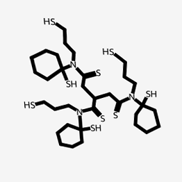 S=C(CC(CC(=S)N(CCCS)C1(S)CCCCC1)C(=S)N(CCCS)C1(S)CCCCC1)N(CCCS)C1(S)CCCCC1